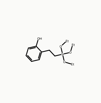 CCO[Si](CCc1ccccc1O)(OCC)OCC